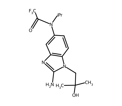 CC(C)N(C(=O)C(F)(F)F)c1ccc2c(c1)nc(N)n2CC(C)(C)O